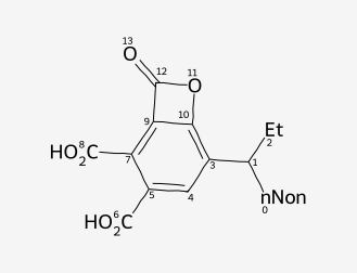 CCCCCCCCCC(CC)c1cc(C(=O)O)c(C(=O)O)c2c1OC2=O